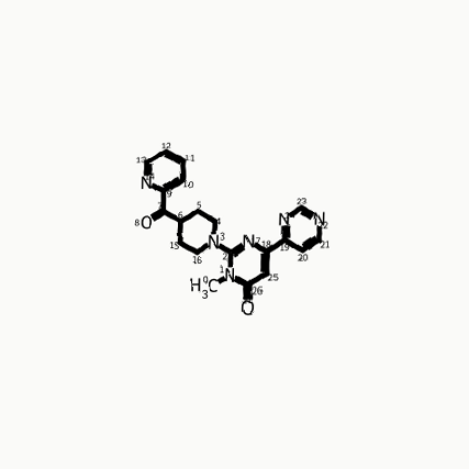 Cn1c(N2CCC(C(=O)c3ccccn3)CC2)nc(-c2ccncn2)cc1=O